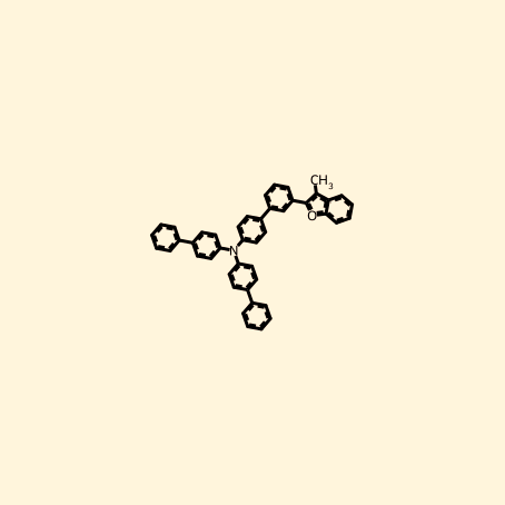 Cc1c(-c2cccc(-c3ccc(N(c4ccc(-c5ccccc5)cc4)c4ccc(-c5ccccc5)cc4)cc3)c2)oc2ccccc12